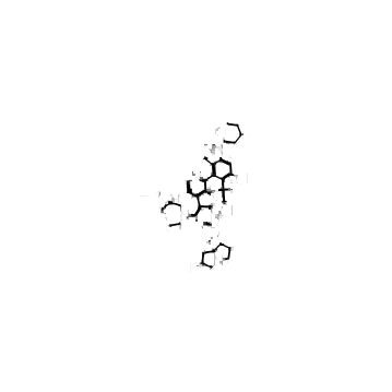 C#CC(F)(F)c1c(C)cc2c(cnn2C2CCCCO2)c1-c1nccc2c1sc1nc(OC[C@@]34CCCN3C[C@H](F)C4)nc(N3CCOC[C@](C)(O)C3)c12